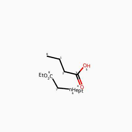 CCCC(=O)O.CCCCCCCCC(=O)OCC